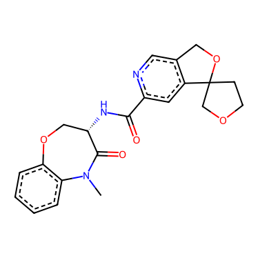 CN1C(=O)[C@@H](NC(=O)c2cc3c(cn2)COC32CCOC2)COc2ccccc21